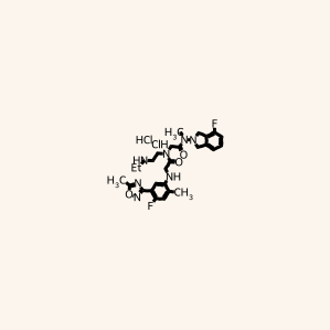 CCNCCN(CC(=O)N(C)N1Cc2cccc(F)c2C1)C(=O)CNc1cc(-c2noc(C)n2)c(F)cc1C.Cl.Cl